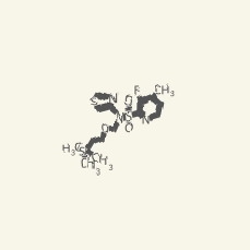 Cc1ccnc(S(=O)(=O)N(COCC[Si](C)(C)C)c2cscn2)c1F